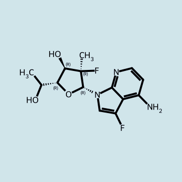 CC(O)[C@H]1O[C@@H](n2cc(F)c3c(N)ccnc32)[C@](C)(F)[C@@H]1O